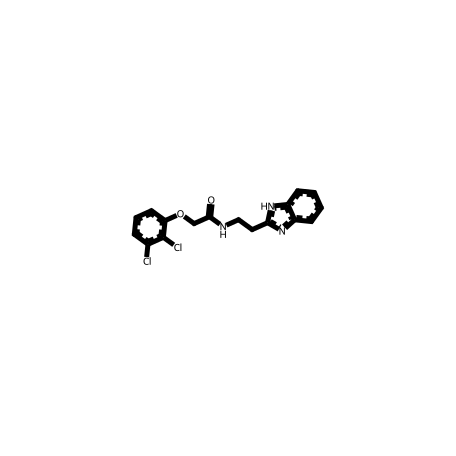 O=C(COc1cccc(Cl)c1Cl)NCCc1nc2ccccc2[nH]1